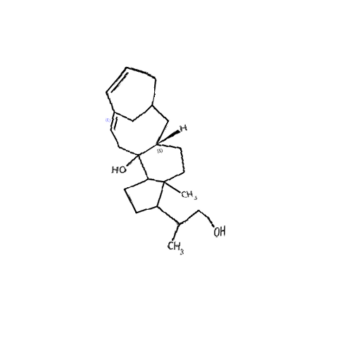 CC(CO)C1CCC2C1(C)CC[C@H]1CC3CC=C/C(=C/CC21O)C3